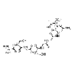 CC[C@H](C)[C@H](N)C(=O)N[C@@H](CO)C(=O)NCC(=O)N[C@@H](CO)C(=O)NCC(=O)NCC(=O)N[C@@H](CC(N)=O)C(=O)N[C@H](C(=O)O)[C@@H](C)O